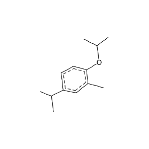 Cc1cc(C(C)C)ccc1OC(C)C